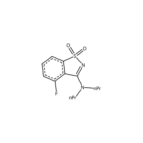 CCCN(CCC)C1=NS(=O)(=O)c2cccc(F)c21